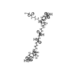 CCOC(=O)CCCCC[N+]1=C(C)C(C)(CCCCCC(=O)NCCNC(=O)CCCCC[N+]2=C(C)C(C)(C)c3cc(S(=O)(=O)O)ccc32)c2cc(S(=O)(=O)O)ccc21